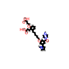 CN1CCN(C(=O)c2cc(OCCCCCCc3cccc(OCCCC(=O)O)c3CCC(=O)O)cc(-c3cccn3C)c2)CC1